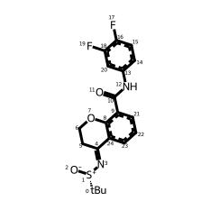 CC(C)(C)[S@+]([O-])/N=C1\CCOc2c(C(=O)Nc3ccc(F)c(F)c3)cccc21